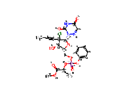 CC#CC1(Cl)[C@@H](O)[C@@H](CO[P@](=O)(Oc2ccccc2)O[C@@H](C)C(=O)OC(C)C)O[C@H]1n1ncc(=O)[nH]c1=O